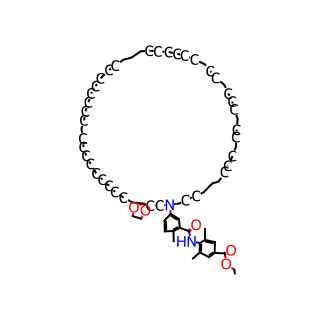 CCOC(=O)c1cc(C)c(NC(=O)c2cc(N3CCCCCCCCCCCCCCCCCCCCCCCCCCCCCCCCCCCCCCCCCCCCCCCCC4(CC3)OCCO4)ccc2C)c(C)c1